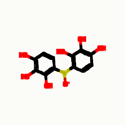 [O-][S+](c1ccc(O)c(O)c1O)c1ccc(O)c(O)c1O